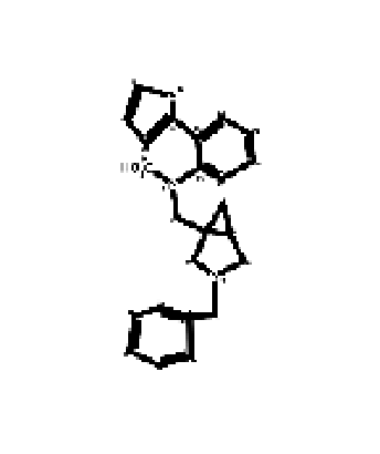 O=C(O)N(CC12CC1CN(Cc1ccccc1)C2)c1ccccc1-c1cccs1